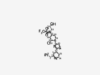 CC(C)Cc1cc(-c2nc(-c3ccc(N(CCO)S(=O)(=O)C(F)(F)F)cc3Cl)cs2)ccn1